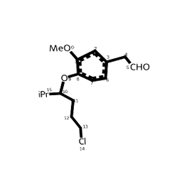 COc1cc(CC=O)ccc1OC(CCCCl)C(C)C